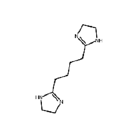 C(CCC1=NCCN1)CC1=NCCN1